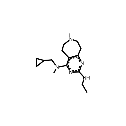 CCNc1nc2c(c(N(C)CC3CC3)n1)CCNCC2